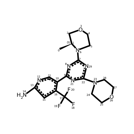 C[C@H]1COCCN1c1nc(-c2cnc(N)cc2C(F)(F)F)nc(N2CCOCC2)n1